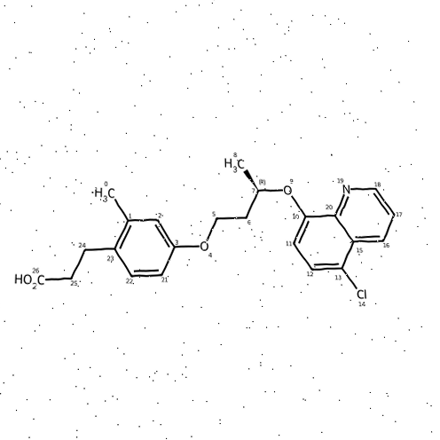 Cc1cc(OCC[C@@H](C)Oc2ccc(Cl)c3cccnc23)ccc1CCC(=O)O